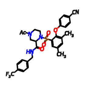 CC(=O)N1CCN(S(=O)(=O)c2cc(C)cc(C)c2Oc2ccc(C#N)cc2)C(C(=O)NCc2ccc(C(F)(F)F)cc2)C1